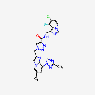 Cc1ncn(-c2cc(C3CC3)cn3cc(Cn4cc(C(=O)NCc5ncn6ccc(Cl)c(F)c56)nn4)nc23)n1